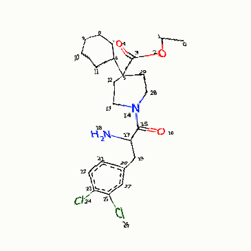 CCOC(=O)C1(C2CCCCC2)CCN(C(=O)C(N)Cc2ccc(Cl)c(Cl)c2)CC1